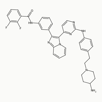 NC1CCN(CCc2ccc(Nc3nccc(-c4c(-c5cccc(NC(=O)c6cccc(F)c6F)c5)nc5ccccn45)n3)cc2)CC1